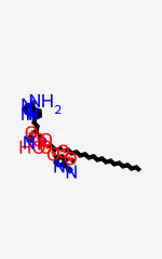 CCCCCCCCCCCCCCCCCCOC[C@H](COP(=O)(O)OC[C@H](CCc1ccc2c(N)ncnn12)OC#N)Oc1cnc(C#N)c(OC)c1